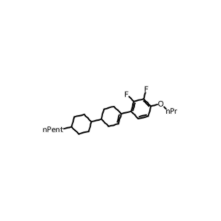 CCCCCC1CCC(C2CC=C(c3ccc(OCCC)c(F)c3F)CC2)CC1